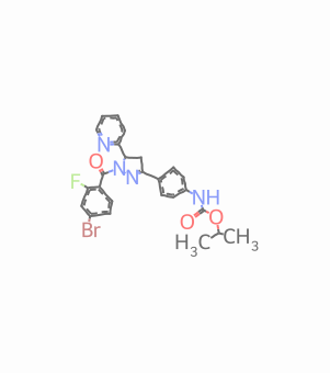 CC(C)OC(=O)Nc1ccc(C2=NN(C(=O)c3ccc(Br)cc3F)C(c3ccccn3)C2)cc1